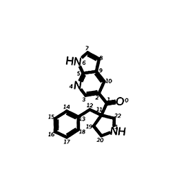 O=C(c1cnc2[nH]ccc2c1)C1(Cc2ccccc2)CCNC1